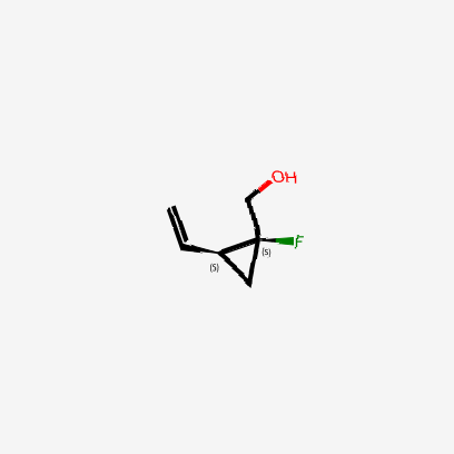 C=C[C@@H]1C[C@@]1(F)CO